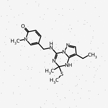 CCc1cnn2c1NC(C)(SC)N=C2NCc1ccc(=O)n(C)c1